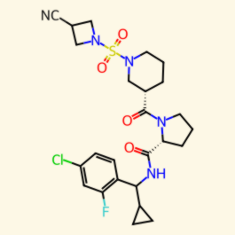 N#CC1CN(S(=O)(=O)N2CCC[C@H](C(=O)N3CCC[C@@H]3C(=O)NC(c3ccc(Cl)cc3F)C3CC3)C2)C1